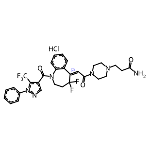 Cl.NC(=O)CCN1CCN(C(=O)/C=C2/c3ccccc3N(C(=O)c3cnn(-c4ccccc4)c3C(F)(F)F)CCC2(F)F)CC1